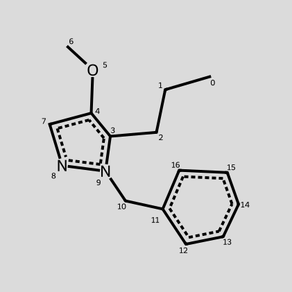 CCCc1c(OC)cnn1Cc1ccccc1